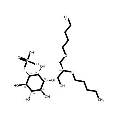 CCCCCOC[C@H](CO)OCCCCC.O=P(O)(O)O[C@@H]1[C@H](O)[C@H](O)[C@@H](O)[C@H](O)[C@H]1O